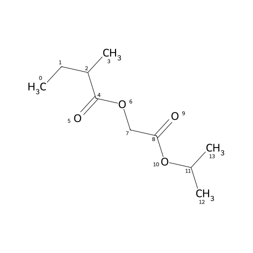 CCC(C)C(=O)OCC(=O)OC(C)C